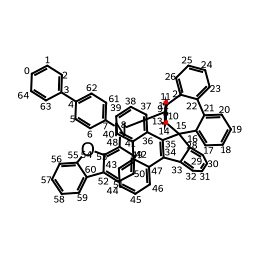 c1ccc(-c2ccc(N(c3ccc4c(c3)C3(c5ccccc5-c5ccccc5-4)c4ccccc4-c4c3c3ccccc3c3ccccc43)c3cccc4c3oc3ccccc34)cc2)cc1